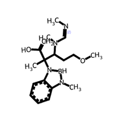 C=C(O)C(C)(C(CCOC)N(C)/C=N\C)N1BN(C)c2ccccc21